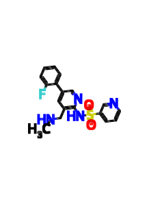 CNCc1cc(-c2ccccc2F)cnc1NS(=O)(=O)c1cccnc1